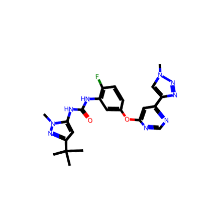 Cn1cc(-c2cc(Oc3ccc(F)c(NC(=O)Nc4cc(C(C)(C)C)nn4C)c3)ncn2)nn1